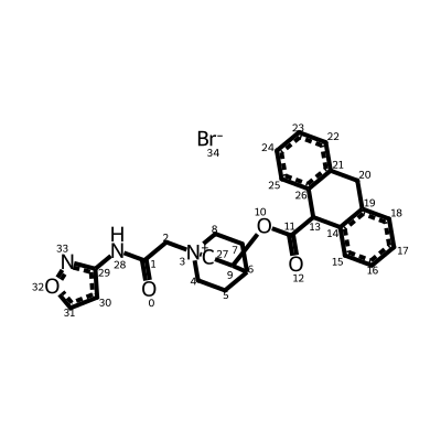 O=C(C[N+]12CCC(CC1)C(OC(=O)C1c3ccccc3Cc3ccccc31)C2)Nc1ccon1.[Br-]